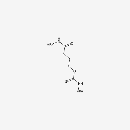 CCCCNC(=O)SCCOC(=S)NCCCC